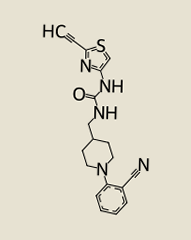 C#Cc1nc(NC(=O)NCC2CCN(c3ccccc3C#N)CC2)cs1